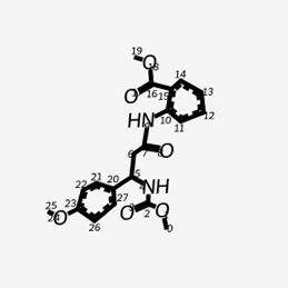 COC(=O)NC(CC(=O)Nc1ccccc1C(=O)OC)c1ccc(OC)cc1